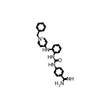 N=C(N)c1ccc(NC(=O)Nc2ccccc2Nc2cc[n+](Cc3ccccc3)cc2)cc1